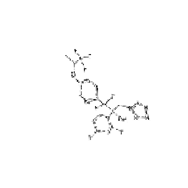 CC(Oc1ccc(C(F)(F)C(O)(Cn2cnnn2)c2ccc(F)cc2F)nc1)C(F)(F)F